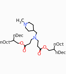 CCCCCCCCCCC(CCCCCCCC)COC(=O)CCN(CCC(=O)OCC(CCCCCCCC)CCCCCCCCCC)CC1CCN(C)CC1